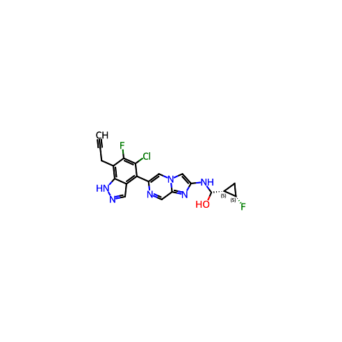 C#CCc1c(F)c(Cl)c(-c2cn3cc(NC(O)[C@@H]4C[C@@H]4F)nc3cn2)c2cn[nH]c12